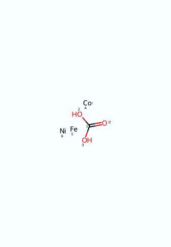 O=C(O)O.[Co].[Fe].[Ni]